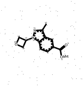 COC(=O)c1ccc2c(c1)c(C)nn2C1COC1